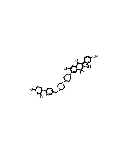 CCc1cc2c(cc1N1CCC(N3CCN(Cc4ccc(N5CCC(=O)NC5=O)nc4)CC3)CC1)C(C)(C)c1[nH]c3cc(C#N)ccc3c1C2=O